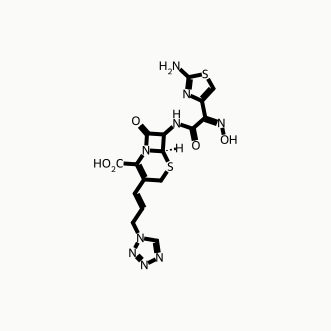 Nc1nc(/C(=N/O)C(=O)NC2C(=O)N3C(C(=O)O)=C(/C=C/Cn4cnnn4)CS[C@H]23)cs1